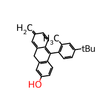 C=c1ccc2c(c1)Cc1cc(O)ccc1C=2c1ccc(C(C)(C)C)cc1C